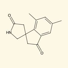 Cc1cc(C)c2c(c1)C(=O)CC21CNC(=O)C1